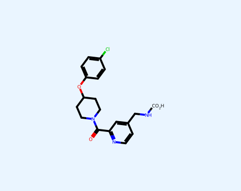 O=C(O)NCc1ccnc(C(=O)N2CCC(Oc3ccc(Cl)cc3)CC2)c1